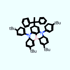 CC(C)(C)C1=CCC2C(=C1)B1C3=C(CC(C(C)(c4ccccc4)c4ccccc4)C=C3N(C3=CC=C(C(C)(C)C)CC3)C3C=CC(C(C)(C)C)=CC13)N2C1=CCC(C(C)(C)C)C=C1